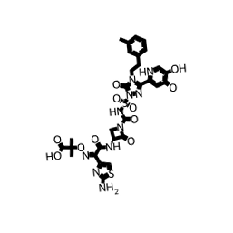 Cc1cccc(CCn2c(-c3cc(=O)c(O)c[nH]3)nn(S(=O)(=O)NC(=O)N3C[C@H](NC(=O)/C(=N\OC(C)(C)C(=O)O)c4csc(N)n4)C3=O)c2=O)c1